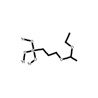 [3H]O[Si](CCCOC(C)OCC)(O[3H])O[3H]